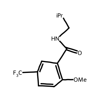 COc1ccc(C(F)(F)F)cc1C(=O)NCC(C)C